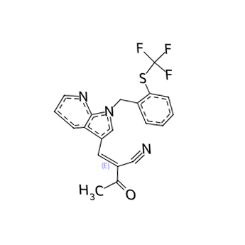 CC(=O)/C(C#N)=C/c1cn(Cc2ccccc2SC(F)(F)F)c2ncccc12